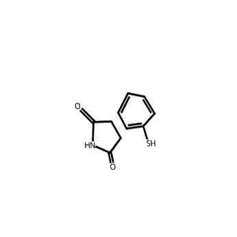 O=C1CCC(=O)N1.Sc1ccccc1